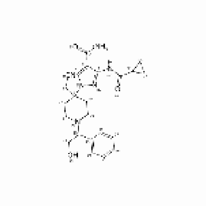 N#CCC1(n2cc(C(N)=O)c(NC(=O)C3CC3)n2)CCN(C(CO)c2ccccc2)CC1